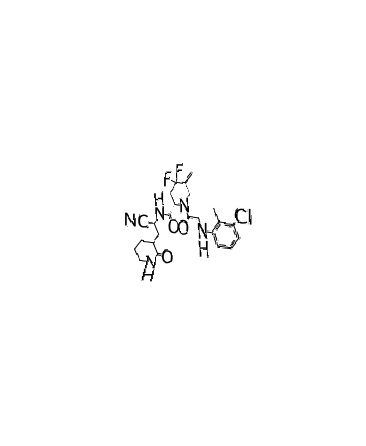 C=C1CN(C(=O)CNc2cccc(Cl)c2C)[C@H](C(=O)N[C@H](C#N)C[C@@H]2CCCNC2=O)CC1(F)F